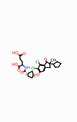 CC1(C2CCCC2)Cc2cc(O[C@H]3CC[C@H](C(=O)NC(CCC(=O)O)C(=O)O)C3)c(Cl)c(Cl)c2C1=O